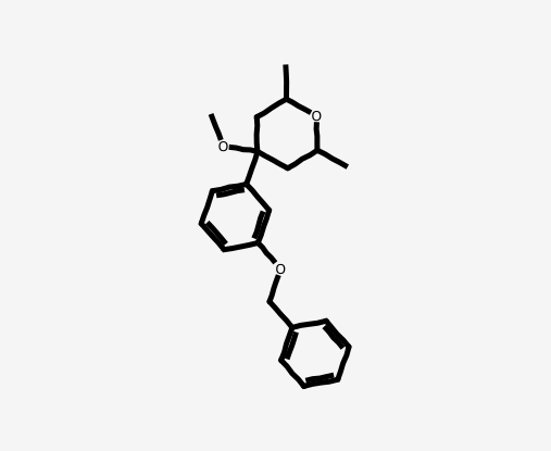 COC1(c2cccc(OCc3ccccc3)c2)CC(C)OC(C)C1